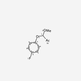 COC(Oc1ccc(F)cc1)C(C)=O